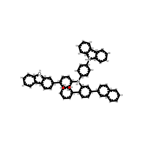 c1ccc(-c2ccc(-c3ccc4ccccc4c3)cc2N(c2ccc(-c3ccc4c(c3)oc3ccccc34)cc2)c2ccc(-n3c4ccccc4c4ccccc43)cc2)cc1